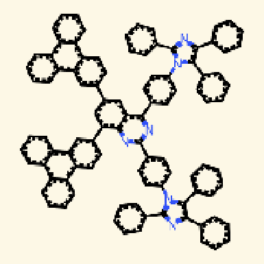 c1ccc(-c2nc(-c3ccccc3)n(-c3ccc(-c4nc(-c5ccc(-n6c(-c7ccccc7)nc(-c7ccccc7)c6-c6ccccc6)cc5)c5cc(-c6ccc7c8ccccc8c8ccccc8c7c6)cc(-c6ccc7c8ccccc8c8ccccc8c7c6)c5n4)cc3)c2-c2ccccc2)cc1